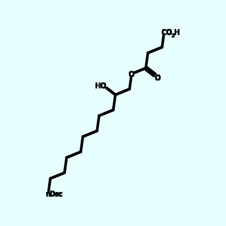 CCCCCCCCCCCCCCCCCCC(O)COC(=O)CCC(=O)O